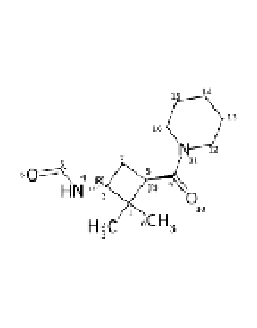 CC1(C)[C@H](N[C]=O)C[C@H]1C(=O)N1CCCCC1